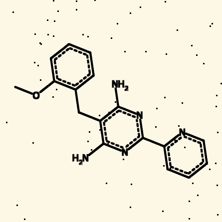 COc1ccccc1Cc1c(N)nc(-c2ccccn2)nc1N